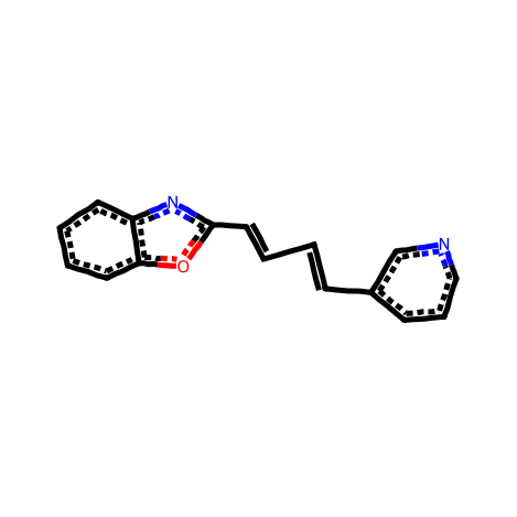 C(/C=C/c1nc2ccccc2o1)=C\c1cccnc1